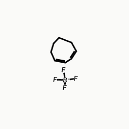 C1=CCCCCC=C1.F[B-](F)(F)F